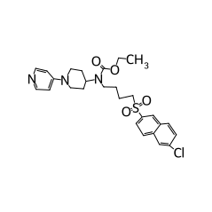 CCOC(=O)N(CCCCS(=O)(=O)c1ccc2cc(Cl)ccc2c1)C1CCN(c2ccncc2)CC1